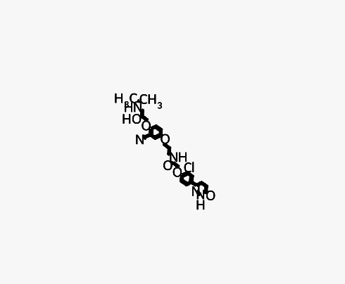 CC(C)NC[C@H](O)COc1ccc(OCCCNC(=O)COc2ccc(C3=NNC(=O)CC3)cc2Cl)cc1C#N